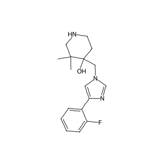 CC1(C)CNCCC1(O)Cn1cnc(-c2ccccc2F)c1